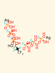 O=C(O)C(F)(F)C(F)(F)F.O=P(O)(O)F.O=P(O)(O)F.O=P(O)(O)F.O=P(O)(O)F.O=P(O)(O)F.O=P(O)(O)F.[Ag].[Ag]